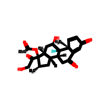 COC(=O)O[C@]1(C(=O)CO)[C@@H](C)C[C@H]2[C@@H]3CC(=O)C4=CC(=O)C=C[C@]4(C)[C@@]3(F)[C@@H](O)C[C@@]21C